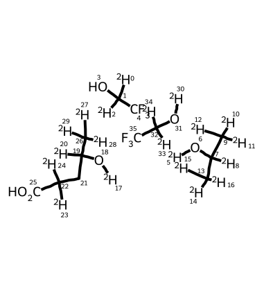 [2H]C([2H])(O)C(F)(F)F.[2H]OC([2H])(C([2H])([2H])[2H])C([2H])([2H])[2H].[2H]OC([2H])(CC([2H])([2H])C(=O)O)C([2H])([2H])[2H].[2H]OC([2H])([2H])C(F)(F)F